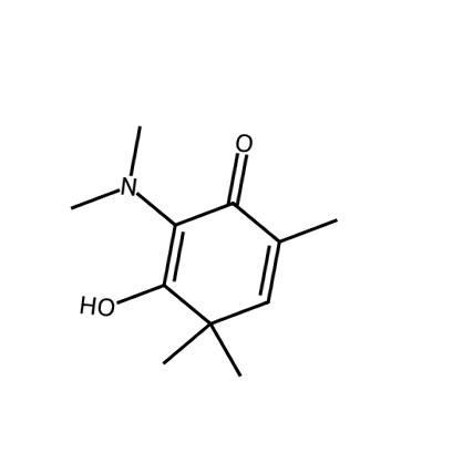 CC1=CC(C)(C)C(O)=C(N(C)C)C1=O